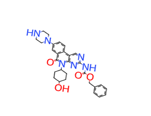 O=C(Nc1ncc2c3ccc(N4CCNCC4)cc3c(=O)n(C3CCC(O)CC3)c2n1)OCc1ccccc1